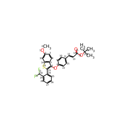 COc1ccc2c(Oc3ccc(/C=C/C(=O)OC(C)(C)C)cc3)c(-c3ccccc3C(F)F)sc2c1